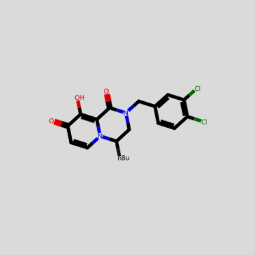 CCCCC1CN(Cc2ccc(Cl)c(Cl)c2)C(=O)c2c(O)c(=O)ccn21